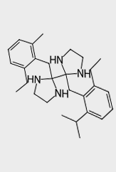 CCc1cccc(C)c1CC1(C2(Cc3c(CC)cccc3C(C)C)NCCN2)NCCN1